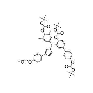 Cc1cc(C(c2cc(-c3ccc(OC(=O)OC(C)(C)C)cc3)ccc2OC(=O)OC(C)(C)C)C2C=CC(c3ccc(OCO)cc3)=C2)cc(C)c1OC(=O)OC(C)(C)C